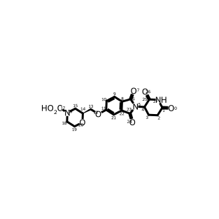 O=C1CCC(N2C(=O)c3ccc(OC[C@@H]4CN(C(=O)O)CCO4)cc3C2=O)C(=O)N1